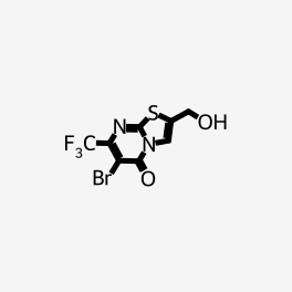 O=c1c(Br)c(C(F)(F)F)nc2sc(CO)cn12